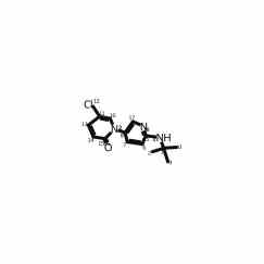 CC(C)(C)Nc1ccc(-n2cc(Cl)ccc2=O)cn1